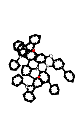 c1ccc(-c2ccc3c(c2)B2c4cc(-c5ccccc5)ccc4N(c4c(-c5cccc6c7ccccc7n(-c7ccccc7)c56)cccc4-c4cccc5c6ccccc6n(-c6ccccc6)c45)c4cc(-n5c6ccccc6c6ccccc65)cc(c42)O3)cc1